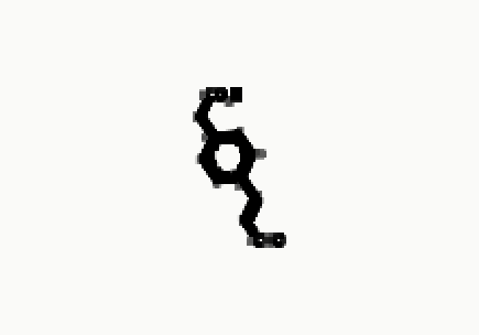 O=CC=Cc1ccc(CC(=O)O)cc1